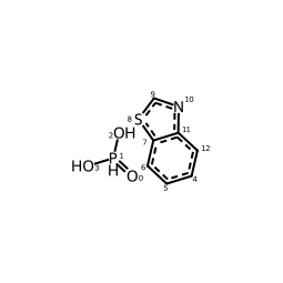 O=[PH](O)O.c1ccc2scnc2c1